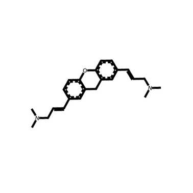 CN(C)CC=Cc1ccc2c(c1)Cc1cc(C=CCN(C)C)ccc1O2